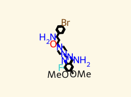 COc1cc2c(N)nc(N3CCN(C(=O)CC(N)c4ccc(Br)cc4)CC3)nc2c(F)c1OC